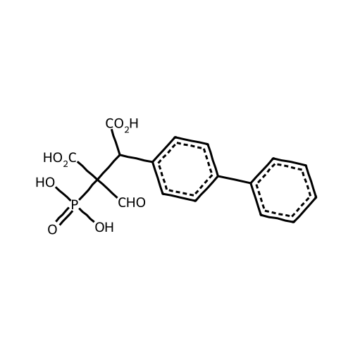 O=CC(C(=O)O)(C(C(=O)O)c1ccc(-c2ccccc2)cc1)P(=O)(O)O